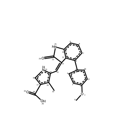 COc1ccc(-c2cccc3c2C(=Cc2[nH]cc(C(=O)O)c2C)C(=O)N3)cc1